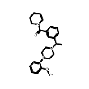 CC(C)Oc1ccccc1N1CCN(C(C)c2cccc(C(=O)N3CCCCC3)c2)CC1